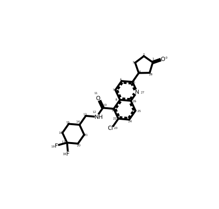 O=C1CCC(c2ccc3c(C(=O)NCC4CCC(F)(F)CC4)c(Cl)ccc3n2)C1